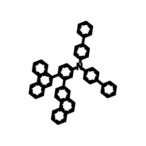 c1ccc(-c2ccc(N(c3ccc(-c4ccccc4)cc3)c3ccc(-c4cc5ccccc5c5ccccc45)c(-c4ccc5c(ccc6ccccc65)c4)c3)cc2)cc1